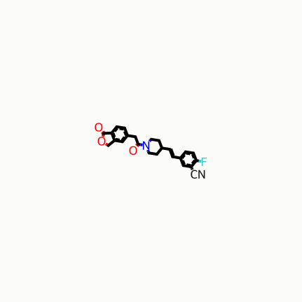 N#Cc1cc(C=CC2CCN(C(=O)Cc3ccc4c(c3)COC4=O)CC2)ccc1F